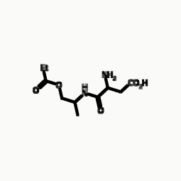 CCC(=O)OCC(C)NC(=O)C(N)CC(=O)O